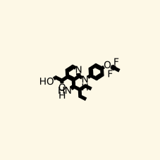 CCC(CC)C(=N)c1c(C(O)CO)ccnc1Nc1ccc(OC(C)(F)F)cc1